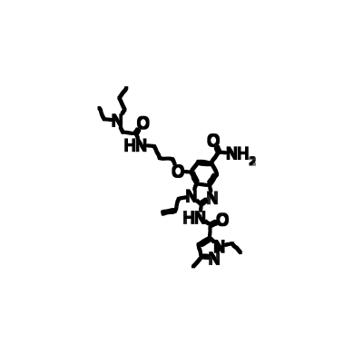 C=CCn1c(NC(=O)c2cc(C)nn2CC)nc2cc(C(N)=O)cc(OCCCNC(=O)CN(CC)CCC)c21